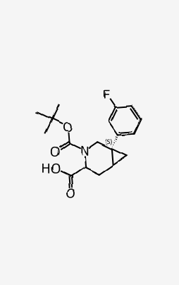 CC(C)(C)OC(=O)N1C[C@@]2(c3cccc(F)c3)CC2CC1C(=O)O